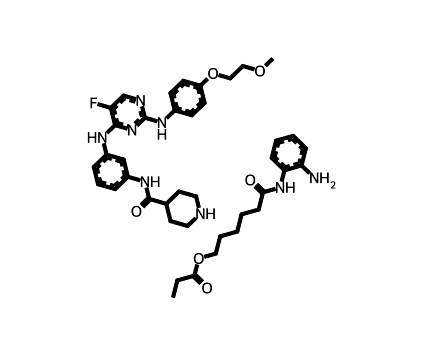 CCC(=O)OCCCCCC(=O)Nc1ccccc1N.COCCOc1ccc(Nc2ncc(F)c(Nc3cccc(NC(=O)C4CCNCC4)c3)n2)cc1